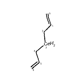 C=C[CH2][GeH2][CH2]C=C